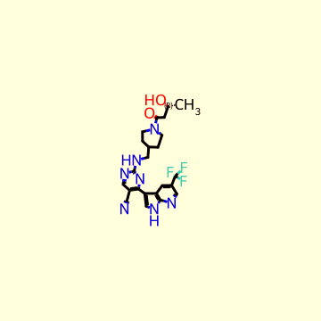 C[C@@H](O)CC(=O)N1CCC(CNc2ncc(C#N)c(-c3c[nH]c4ncc(C(F)(F)F)cc34)n2)CC1